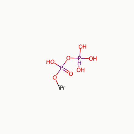 CC(C)OP(=O)(O)O[PH](O)(O)O